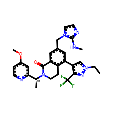 CCn1cc(-c2cc(Cn3ccnc3NC)cc3c2CCN([C@@H](C)c2cc(OC)ccn2)C3=O)c(C(F)(F)F)n1